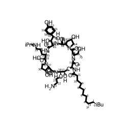 CC[C@H](C)C[C@H](C)CCCCCCCCC(=O)N[C@H]1C[C@@H](O)[C@@H](OCCN)NC(=O)[C@@H]2[C@@H](O)CCN2C(=O)[C@H]([C@H](O)CCNC(C)C)NC(=O)[C@H]([C@H](O)[C@@H](O)c2ccc(O)cc2)NC(=O)[C@@H]2C[C@@H](O)CN2C(=O)[C@H]([C@@H](C)O)NC1=O